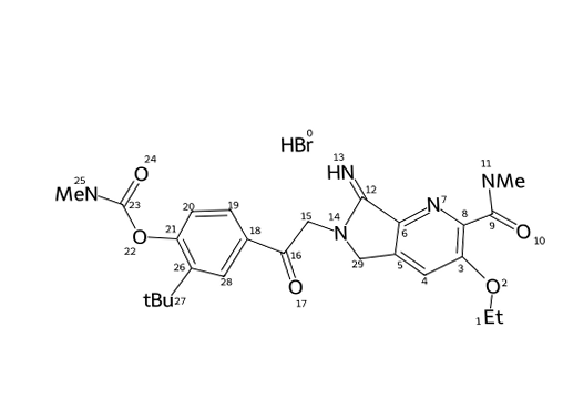 Br.CCOc1cc2c(nc1C(=O)NC)C(=N)N(CC(=O)c1ccc(OC(=O)NC)c(C(C)(C)C)c1)C2